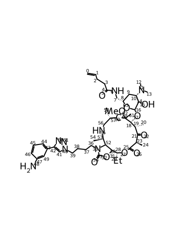 C=CCCC(=O)NC[C@@H]1C[C@H](N(C)C)[C@@H](O)C(O[C@@H]2[C@H](C)C(=O)[C@@H](C)C(=O)O[C@H](CC)[C@@]3(C)OC(=O)N(CCCCn4cc(-c5cccc(N)c5)nn4)C3[C@@H](C)NC[C@H](C)C[C@@]2(C)OC)O1